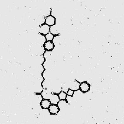 O=C1CCC(N2C(=O)c3ccc(NCCCCCCNC(=O)c4ccc5cncc(N6C(=O)NC7(CC(c8ccccc8Cl)C7)C6=O)c5c4)cc3C2=O)C(=O)N1